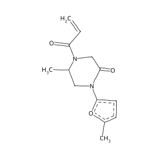 C=CC(=O)N1CC(=O)N(c2ccc(C)o2)CC1C